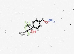 CC(F)(F)C(O)(c1ccc(CON)cc1)C(F)(F)F